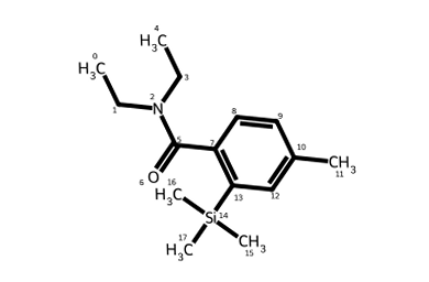 CCN(CC)C(=O)c1ccc(C)cc1[Si](C)(C)C